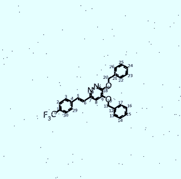 FC(F)(F)c1ccc(C=Cc2cc(OCc3ccccc3)c(OCc3ccccc3)nn2)cc1